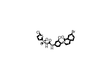 O=C(Nc1ccc(-n2ccc3ccc(Br)cc3c2=O)c(Cl)c1)NS(=O)(=O)c1ccc(Cl)s1